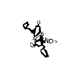 O=[N+]([O-])c1c(Cc2ccccc2)cc(Cl)cc1Sc1cc(Cl)cc(Cc2ccccc2)c1[N+](=O)[O-]